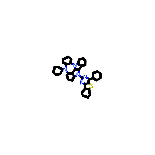 c1ccc(-c2nc(-n3c4cccc5c4c4c3c3ccccc3n4c3ccccc3n5-c3ccccc3)nc3c2sc2ccccc23)cc1